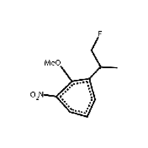 COc1c([C](C)CF)cccc1[N+](=O)[O-]